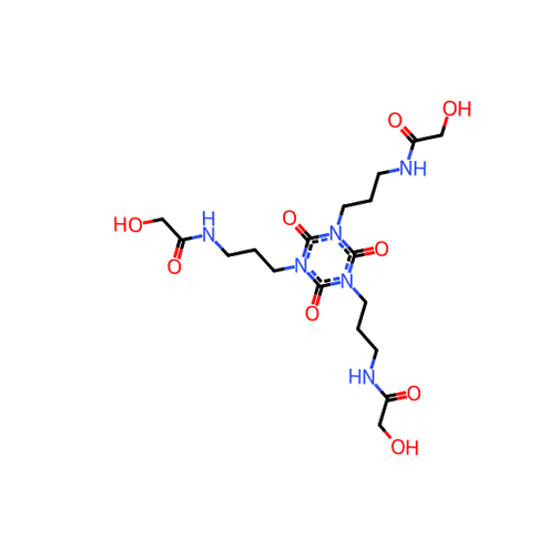 O=C(CO)NCCCn1c(=O)n(CCCNC(=O)CO)c(=O)n(CCCNC(=O)CO)c1=O